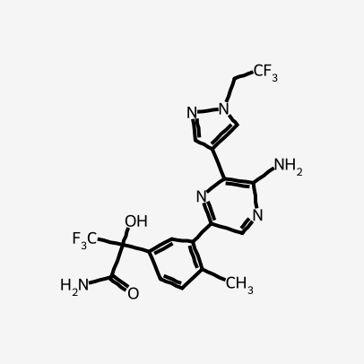 Cc1ccc(C(O)(C(N)=O)C(F)(F)F)cc1-c1cnc(N)c(-c2cnn(CC(F)(F)F)c2)n1